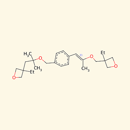 CCC1(CO/C(C)=C/c2ccc(COC(C)(C)CC3(CC)COC3)cc2)COC1